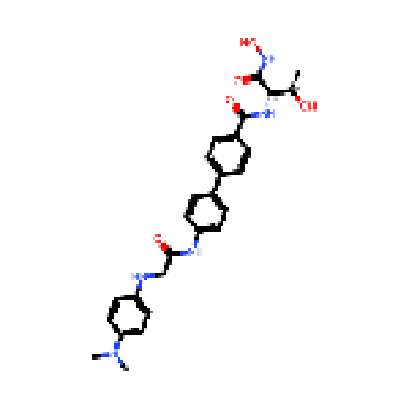 C[C@@H](O)[C@H](NC(=O)c1ccc(-c2ccc(NC(=O)CNc3ccc(N(C)C)cc3)cc2)cc1)C(=O)NO